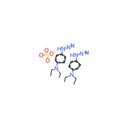 CCN(CC)c1ccc(N[N+]#N)cc1.CCN(CC)c1ccc(N[N+]#N)cc1.O=S(=O)([O-])[O-]